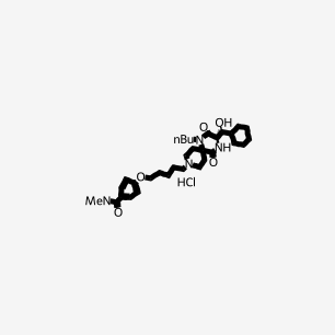 CCCCN1C(=O)[C@@H]([C@H](O)C2CCCCC2)NC(=O)C12CCN(CCCCCOc1ccc(C(=O)NC)cc1)CC2.Cl